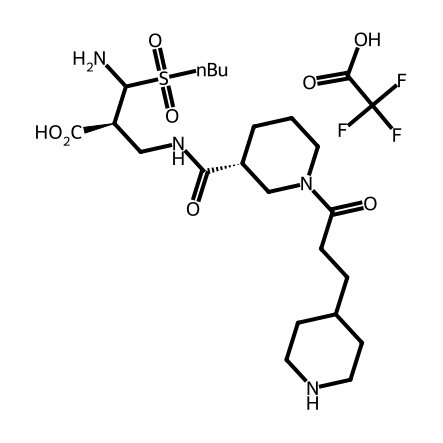 CCCCS(=O)(=O)C(N)[C@@H](CNC(=O)[C@@H]1CCCN(C(=O)CCC2CCNCC2)C1)C(=O)O.O=C(O)C(F)(F)F